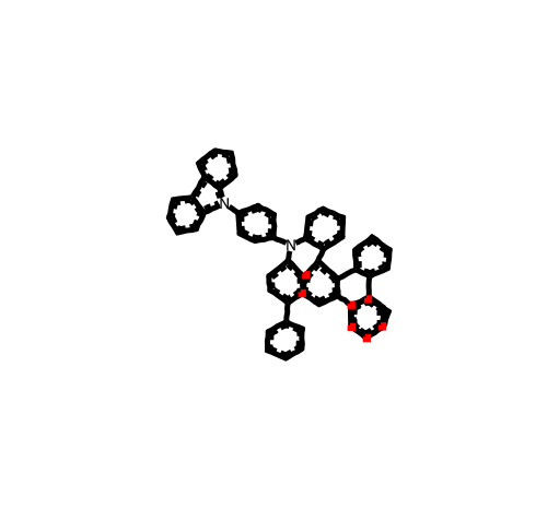 c1ccc(-c2ccc(N(c3ccc(-n4c5ccccc5c5ccccc54)cc3)c3ccccc3-c3cccc(-c4ccccc4)c3-c3ccccc3-c3ccccc3)cc2)cc1